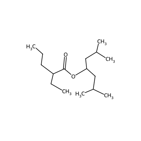 CCCC(CC)C(=O)OC(CC(C)C)CC(C)C